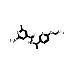 Cc1cc(C(=O)NC(C)c2ccc(OCC(F)(F)F)nc2)cc(N)n1